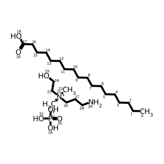 CCCCCCCCCCCCCCCCCC(=O)O.C[N+](C)(CCO)CCCN.O=P(O)(O)O